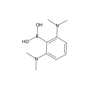 CN(C)c1cccc(N(C)C)c1B(O)O